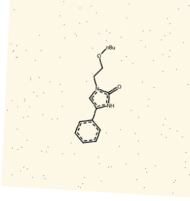 CCCCOCCn1cc(-c2ccccc2)[nH]c1=O